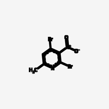 Cc1cc(Br)c([N+](=O)[O-])c(Br)n1